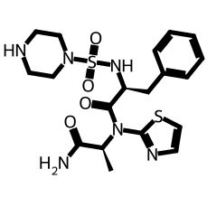 C[C@@H](C(N)=O)N(C(=O)[C@H](Cc1ccccc1)NS(=O)(=O)N1CCNCC1)c1nccs1